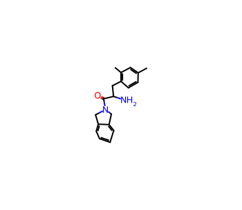 Cc1ccc(CC(N)C(=O)N2Cc3ccccc3C2)c(C)c1